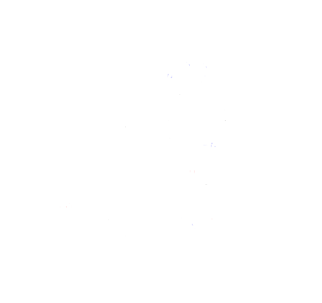 CCn1nnc2c1-c1ccccc1C(O)N(CC(C)C/C(=N\OC)c1ccc(CO)cc1)c1ccccc1-2